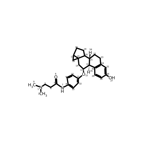 CN(C)CCC(=O)Nc1ccc(O[C@H]2CC34CC3CCC4[C@@H]3CCc4cc(O)ccc4[C@@H]23)cc1